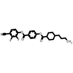 CCCCC1CCC(C(=O)Oc2ccc(C(=O)Oc3ccc(C#N)c(F)c3F)cc2)CC1